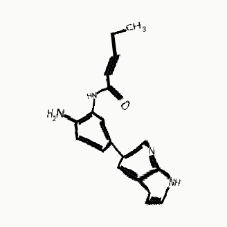 CCC#CC(=O)Nc1cc(-c2cnc3[nH]ccc3c2)ccc1N